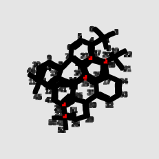 CC(C)(C)c1ccc(-c2ccccc2N(c2ccc(C(C)(C)C)cc2)c2ccccc2-c2cccc3cccc(-c4cc(C(C)(C)C)cc(C(C)(C)C)c4)c23)cc1